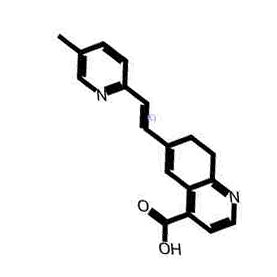 Cc1ccc(/C=C/C2=Cc3c(C(=O)O)ccnc3CC2)nc1